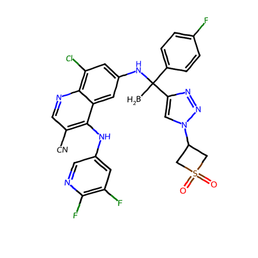 BC(Nc1cc(Cl)c2ncc(C#N)c(Nc3cnc(F)c(F)c3)c2c1)(c1ccc(F)cc1)c1cn(C2CS(=O)(=O)C2)nn1